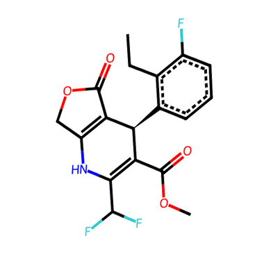 CCc1c(F)cccc1[C@@H]1C2=C(COC2=O)NC(C(F)F)=C1C(=O)OC